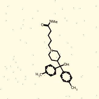 CNC(=O)CCCCN1CCC(C(O)(c2ccc(C)cc2)c2ccc(C)cc2)CC1